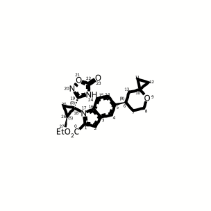 CCOC(=O)c1cc2cc([C@@H]3CCOC4(CC4)C3)ccc2n1[C@]1(c2noc(=O)[nH]2)C[C@@H]1C